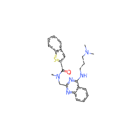 CN(C)CCCNc1nc(CN(C)C(=O)c2cc3ccccc3s2)nc2ccccc12